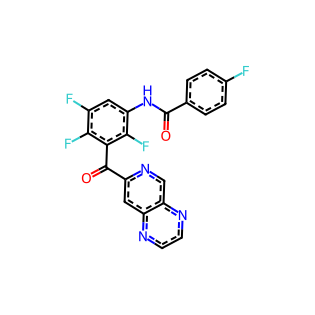 O=C(Nc1cc(F)c(F)c(C(=O)c2cc3nccnc3cn2)c1F)c1ccc(F)cc1